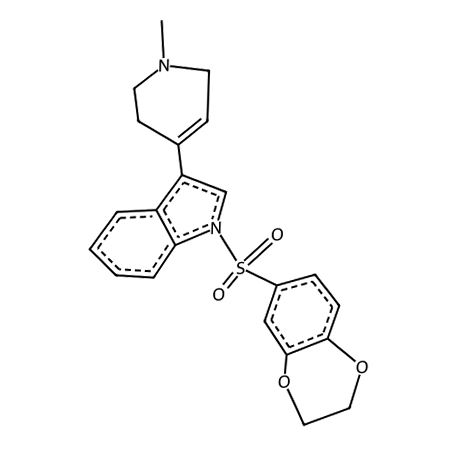 CN1CC=C(c2cn(S(=O)(=O)c3ccc4c(c3)OCCO4)c3ccccc23)CC1